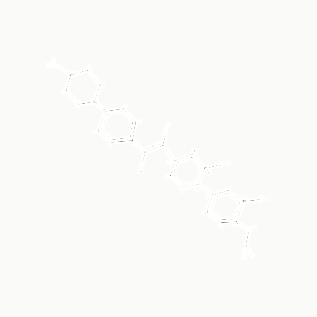 CCCC1CCC(c2ccc(/C(F)=C(\F)c3ccc(-c4ccc(OC(F)(F)F)c(F)c4)c(F)c3)cc2)CC1